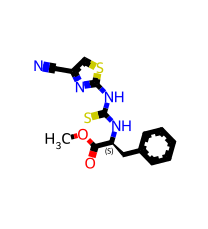 COC(=O)[C@H](Cc1ccccc1)NC(=S)Nc1nc(C#N)cs1